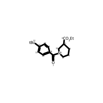 CCOC(=O)C1CCCN(C(=O)c2ccc(C(C)(C)C)cc2)C1